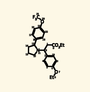 CCOC(=O)CC(c1ccc(OCC)cc1)N1CCCC1c1ccc(OC(F)(F)F)cc1